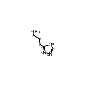 CC(C)(C)CCCc1nnco1